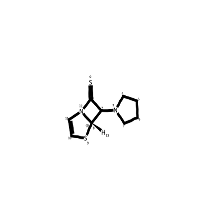 S=C1C(N2CCCC2)[C@@H]2SC=CN12